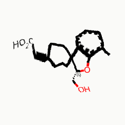 Cc1cccc2c1O[C@H](CO)C21CCC(=CC(=O)O)CC1